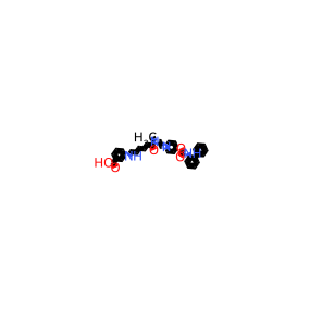 CN(CCN1CCC(OC(=O)Nc2ccccc2-c2ccccc2)CC1)C(=O)CCCCCNc1cccc(C(=O)O)c1